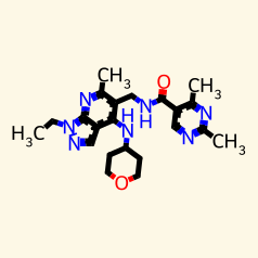 CCn1ncc2c(NC3CCOCC3)c(CNC(=O)c3cnc(C)nc3C)c(C)nc21